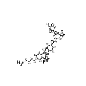 C=CC(=O)OCC(COc1ccc2cc(-c3ccc(CCCCC)cc3C(F)(F)F)oc2c1)CC(F)(F)F